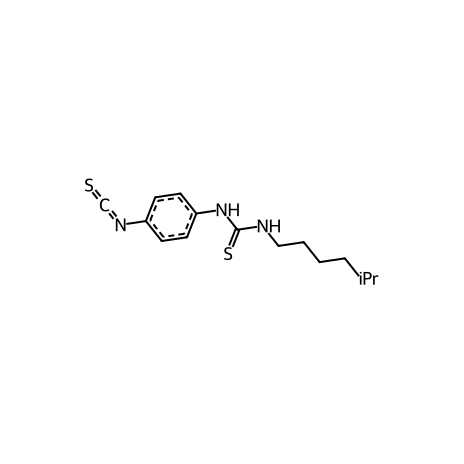 CC(C)CCCCNC(=S)Nc1ccc(N=C=S)cc1